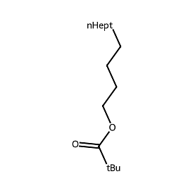 CCCCCCCCCCCOC(=O)C(C)(C)C